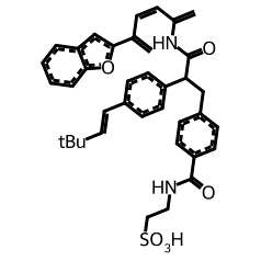 C=C(/C=C\C(=C)c1cc2ccccc2o1)NC(=O)C(Cc1ccc(C(=O)NCCS(=O)(=O)O)cc1)c1ccc(/C=C/C(C)(C)C)cc1